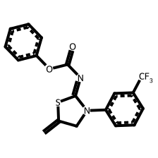 C=C1CN(c2cccc(C(F)(F)F)c2)C(=NC(=O)Oc2ccccc2)S1